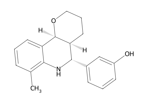 Cc1cccc2c1N[C@@H](c1cccc(O)c1)[C@@H]1CCCO[C@H]21